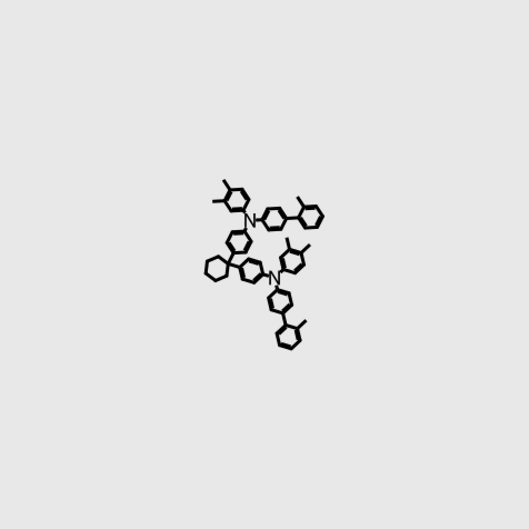 Cc1ccc(N(c2ccc(-c3ccccc3C)cc2)c2ccc(C3(c4ccc(N(c5ccc(-c6ccccc6C)cc5)c5ccc(C)c(C)c5)cc4)CCCCC3)cc2)cc1C